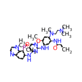 C=CC(=O)Nc1cc(Nc2nccc(Nc3ccc4nccnc4c3P(C)(C)=O)n2)c(OC)cc1N(C)CCN(C)C